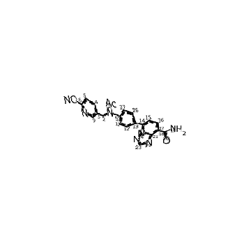 CC(=O)N(Cc1ccc(C#N)nc1)c1ccc(-c2ccc(C(N)=O)c3n[c]nn23)cc1